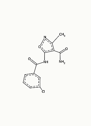 Cc1noc(NC(=O)c2cccc(Cl)c2)c1C(N)=O